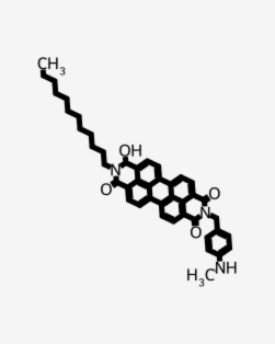 CCCCCCCCCCCCN1C(=O)c2ccc3c4ccc5c6c(ccc(c7ccc(c2c37)C1O)c64)C(=O)N(Cc1ccc(NC)cc1)C5=O